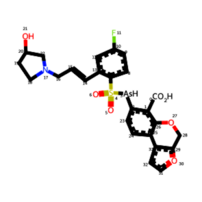 O=C(O)c1c([AsH]S(=O)(=O)c2ccc(F)cc2C=CCN2CCC(O)C2)ccc2c1OCc1occc1-2